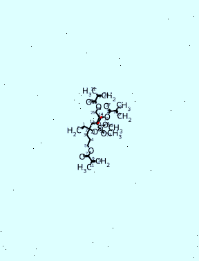 C=CC(CCCOC(=O)C(=C)C)(CCCOC(=O)C(=C)C)O[Si](CCCOC(=O)C(=C)C)(OC)OC